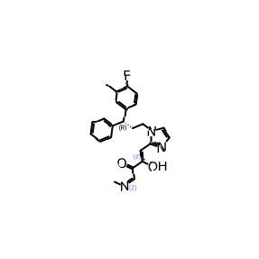 C/N=C\C(=O)/C(O)=C/c1nccn1CC[C@H](c1ccccc1)c1ccc(F)c(C)c1